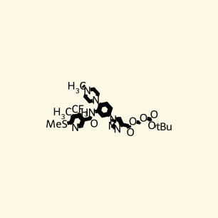 CSc1ncc(C(=O)Nc2cc(-n3cc(C(=O)OCOC(=O)OC(C)(C)C)nn3)ccc2N2CCN(C)CC2)c(C(F)(F)F)c1C